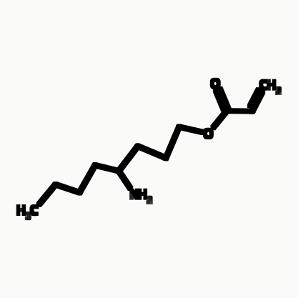 C=CC(=O)OCCCC(N)CCCC